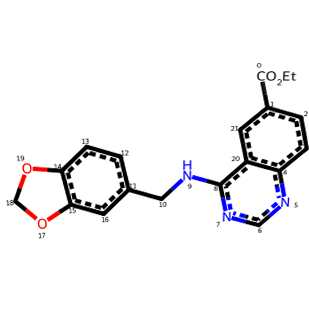 CCOC(=O)c1ccc2ncnc(NCc3ccc4c(c3)OCO4)c2c1